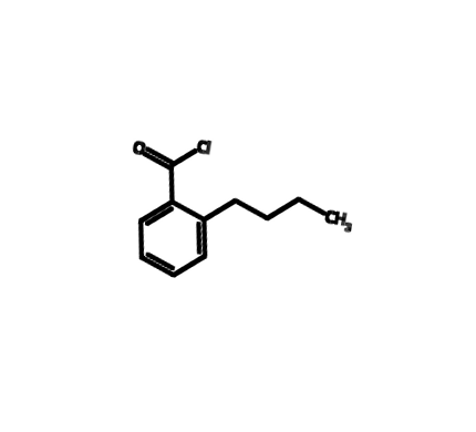 CCCCc1ccccc1C(=O)Cl